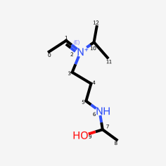 C/C=[N+](\CCCNC(C)O)C(C)C